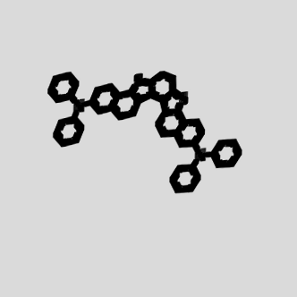 c1ccc(N(c2ccccc2)c2ccc3c(ccc4c3sc3ccc5sc6c7ccc(N(c8ccccc8)c8ccccc8)cc7ccc6c5c34)c2)cc1